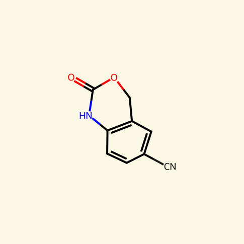 N#Cc1ccc2c(c1)COC(=O)N2